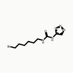 O=C(NCCCCCCBr)Nc1cnns1